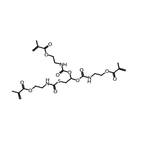 C=C(C)C(=O)OCCNC(=O)OC(CSC(=O)NCCOC(=O)C(=C)C)OC(=O)NCCOC(=O)C(=C)C